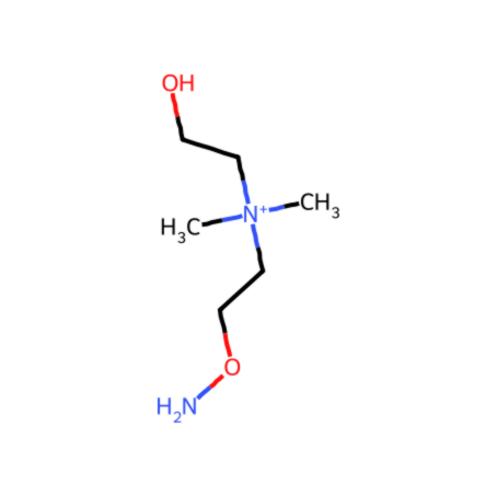 C[N+](C)(CCO)CCON